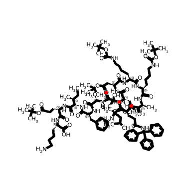 CC[C@H](C)[C@H](NC(=O)[C@H](Cc1ccccc1)NC(=O)[C@H](C)NC(=O)C(C)(C)NC(=O)[C@H](CCC(=O)NC(c1ccccc1)(c1ccccc1)c1ccccc1)NC(=O)[C@H](C)NC(=O)[C@H](CCCCNC(=O)OC(C)(C)C)NC(=O)[C@H](CCCCNC(=O)OC(C)(C)C)NC(=O)[C@H](CC(=O)OC(C)(C)C)NC(=O)[C@H](CC(C)C)NC(=O)[C@@](C)(N)CC(C)C)C(=O)N[C@@H](CCC(=O)OC(C)(C)C)C(=O)N[C@@H](CCCCN)C(=O)O